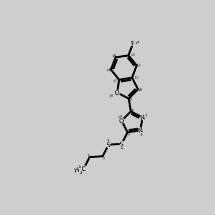 CCCSSc1nnc(-c2cc3cc(F)ccc3o2)o1